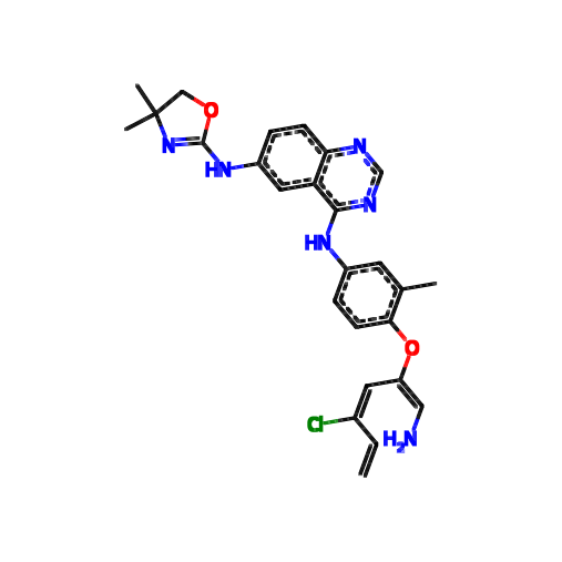 C=C/C(Cl)=C\C(=C/N)Oc1ccc(Nc2ncnc3ccc(NC4=NC(C)(C)CO4)cc23)cc1C